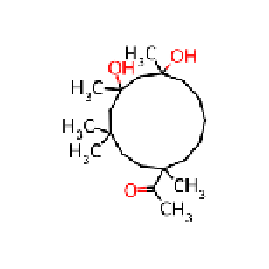 CC(=O)C1(C)CCCCCC(C)(O)CC(C)(O)CC(C)(C)CC1